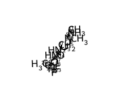 C=C(/C=C\CCC(C)/N=C\NC)NC(=O)Nc1ccc(C(F)(F)F)c(OC)c1